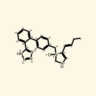 CCC=CC1=CNC[N+]1([O-])Cc1ccc(-c2ccccc2-c2nnn[nH]2)cc1